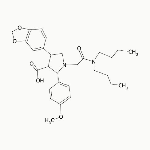 CCCCN(CCCC)C(=O)CN1CC(c2ccc3c(c2)OCO3)C(C(=O)O)[C@H]1c1ccc(OC)cc1